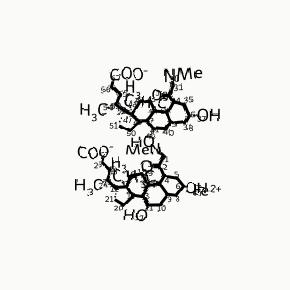 CNCC(=O)C1C[C@H](O)CC2C[C@H](O)C3C(CC[C@@]4(C)C3CC[C@@H]4[C@H](C)CCC(=O)[O-])[C@]21C.CNCC(=O)C1C[C@H](O)CC2C[C@H](O)C3C(CC[C@@]4(C)C3CC[C@@H]4[C@H](C)CCC(=O)[O-])[C@]21C.[Fe+2]